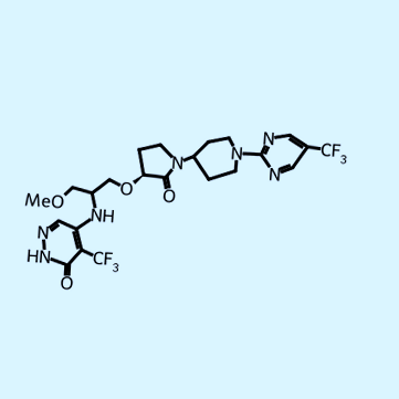 COCC(CO[C@H]1CCN(C2CCN(c3ncc(C(F)(F)F)cn3)CC2)C1=O)Nc1cn[nH]c(=O)c1C(F)(F)F